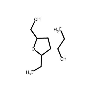 CCC1CCC(CO)O1.CCCO